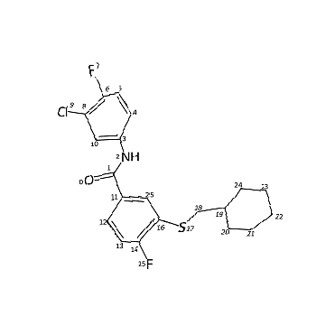 O=C(Nc1ccc(F)c(Cl)c1)c1ccc(F)c(SCC2CCCCC2)c1